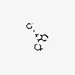 CN1CCC[C@H]1COc1nc(N2CCCC(C)(O)C2)c2cnccc2n1